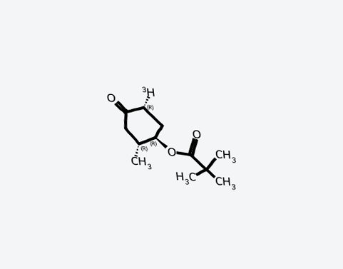 [3H][C@@H]1C[C@@H](OC(=O)C(C)(C)C)[C@H](C)CC1=O